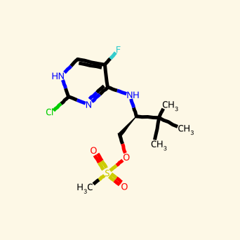 CC(C)(C)[C@@H](COS(C)(=O)=O)NC1=NC(Cl)NC=C1F